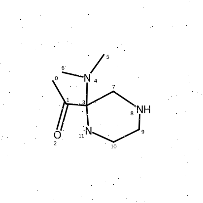 CC(=O)C1(N(C)C)CNCC[N]1